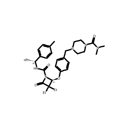 CCC[C@@H](NC(=O)N1C(=O)C(CC)(CC)[C@@H]1Oc1ccc(CN2CCN(C(=O)N(C)C)CC2)cc1)c1ccc(C)cc1